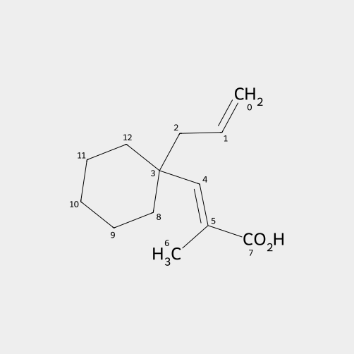 C=CCC1(C=C(C)C(=O)O)CCCCC1